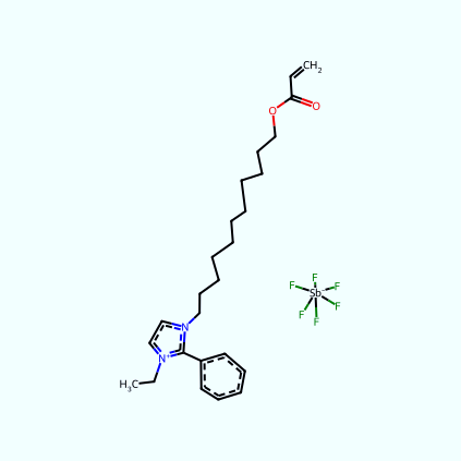 C=CC(=O)OCCCCCCCCCCCn1cc[n+](CC)c1-c1ccccc1.[F][Sb-]([F])([F])([F])([F])[F]